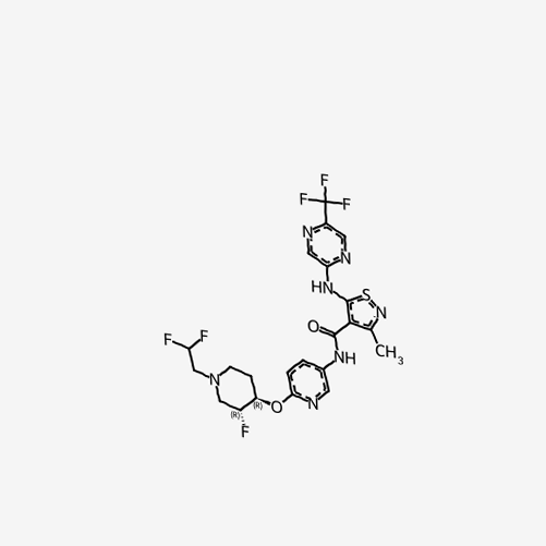 Cc1nsc(Nc2cnc(C(F)(F)F)cn2)c1C(=O)Nc1ccc(O[C@@H]2CCN(CC(F)F)C[C@H]2F)nc1